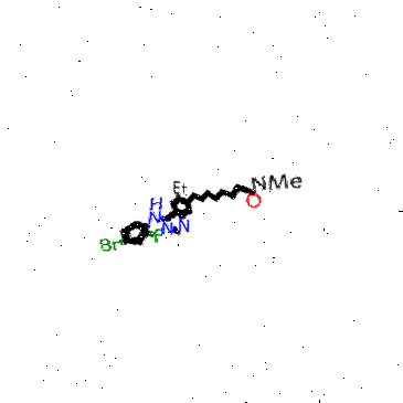 CCc1cc2c(Nc3ccc(Br)cc3F)ncnc2cc1CCCCCCCC(=O)NC